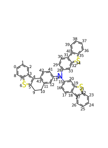 c1ccc2c3c(sc2c1)CCc1cc(N(c2ccc4c(c2)sc2ccccc24)c2ccc4c(c2)sc2ccccc24)ccc1-3